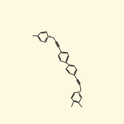 Cc1cc[n+](CC#Cc2ccc(-c3ccc(C#CC[n+]4ccc(C)c(C)c4)cc3)cc2)cc1